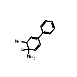 N#CC1C=C(c2ccccc2)C=CC1(N)F